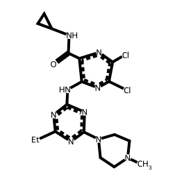 CCc1nc(Nc2nc(Cl)c(Cl)nc2C(=O)NC2CC2)nc(N2CCN(C)CC2)n1